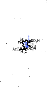 CCc1c(Cc2[nH]c(C(=O)O)c(C)c2CCCOC(C)=O)[nH]c(Cc2[nH]c(C(=O)O)c(C)c2CCCOC(C)=O)c1CC